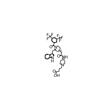 O=C(O)CCCN1CCN(NC(=O)CN2CCN(C(=O)c3cc(C(F)(F)F)cc(C(F)(F)F)c3)[C@H](Cc3c[nH]c4ccccc34)C2)CC1